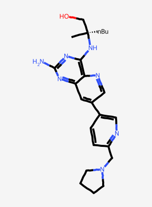 CCCC[C@](C)(CO)Nc1nc(N)nc2cc(-c3ccc(CN4CCCC4)nc3)cnc12